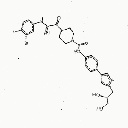 N=C(Nc1ccc(F)c(Br)c1)C(=O)C1CCN(C(=O)Nc2ccc(-c3cnn(C[C@H](O)CO)c3)cc2)CC1